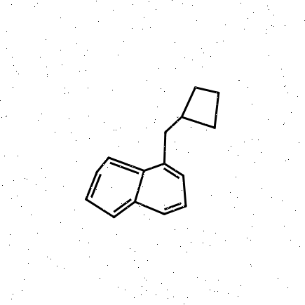 c1ccc2c(C[C]3CCC3)cccc2c1